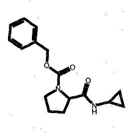 O=C(NC1CC1)C1CCCN1C(=O)OCc1ccccc1